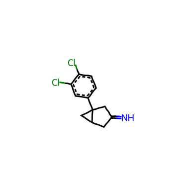 N=C1CC2CC2(c2ccc(Cl)c(Cl)c2)C1